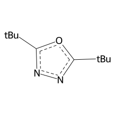 CC(C)(C)c1nnc(C(C)(C)C)o1